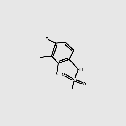 Cc1c(F)ccc(NS(C)(=O)=O)c1Cl